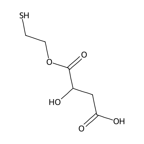 O=C(O)CC(O)C(=O)OCCS